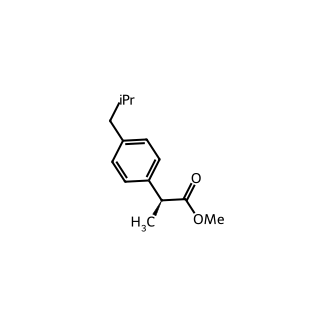 COC(=O)[C@@H](C)c1ccc(CC(C)C)cc1